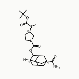 CN(C(=O)OC(C)(C)C)[C@@H]1CCN(C(=O)OC2C3CC4C[C@H]2C[C@@](C(N)=O)(C4)C3)C1